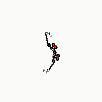 CCCCCCCCc1ccc(-c2csc(N(c3ccccc3)c3ccc(N(c4ccccc4)c4scc(-c5ccc(CCCCCCCC)cc5)c4-c4ccccc4)cc3)c2-c2ccccc2)cc1